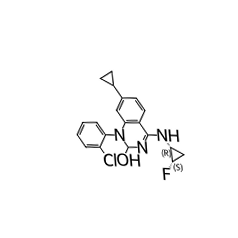 OC1N=C(N[C@@H]2C[C@@H]2F)c2ccc(C3CC3)cc2N1c1ccccc1Cl